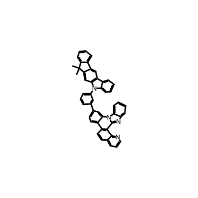 CC1(C)c2ccccc2-c2cc3c4ccccc4n(-c4cccc(-c5ccc6c7ccc8cccnc8c7c7nc8ccccc8n7c6c5)c4)c3cc21